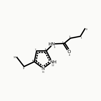 CCCC(=O)Nc1cc(CC)n[nH]1